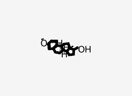 COc1ccc2c(c1)CC[C@@H]1[C@@H]2CC[C@]2(C)C(CO)CC[C@@H]12